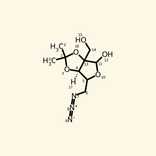 CC1(C)O[C@@H]2C(CN=[N+]=[N-])OC(O)C2(CO)O1